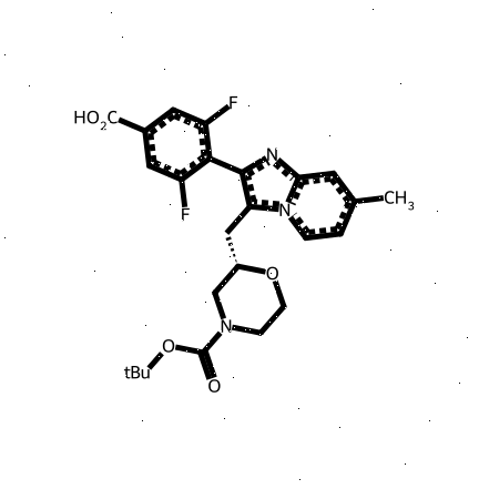 Cc1ccn2c(C[C@H]3CN(C(=O)OC(C)(C)C)CCO3)c(-c3c(F)cc(C(=O)O)cc3F)nc2c1